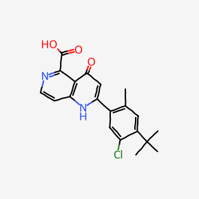 Cc1cc(C(C)(C)C)c(Cl)cc1-c1cc(=O)c2c(C(=O)O)nccc2[nH]1